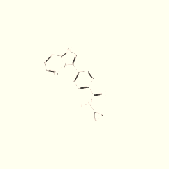 O=C(NC1CC1)c1ccc(-c2cnc3cccnn23)cc1